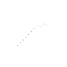 COC(OC)[SiH2]C(F)CC(F)(F)C(F)(F)C(F)(F)C(F)(F)C(F)(F)C(F)(F)C(F)(F)F